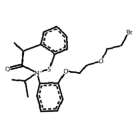 CC1C(=O)[N+](c2ccccc2OCCOCCBr)(C(C)C)Sc2ccccc21